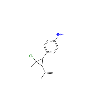 C=C(C)C1C(c2ccc(NC)cc2)C1(C)Cl